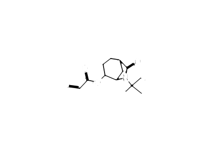 C=CC(=O)OC1CCC2CC1N(C(C)(C)C)C2=O